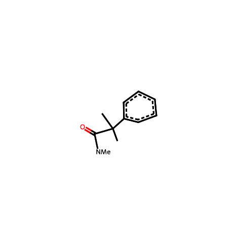 CNC(=O)C(C)(C)c1ccccc1